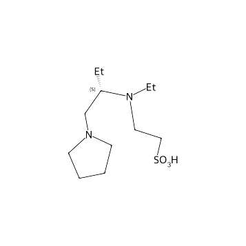 CC[C@@H](CN1CCCC1)N(CC)CCS(=O)(=O)O